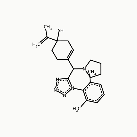 C=C(C)C1(S)CC=C(C(c2nnnn2-c2c(C)cccc2C)N2CCCC2)CC1